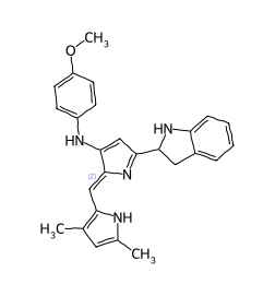 COc1ccc(NC2=CC(C3Cc4ccccc4N3)=N/C2=C\c2[nH]c(C)cc2C)cc1